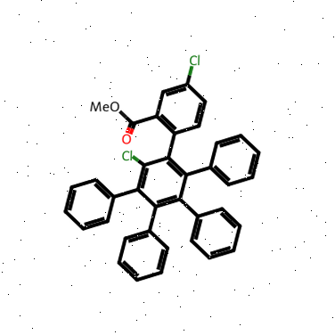 COC(=O)c1cc(Cl)ccc1-c1c(Cl)c(-c2ccccc2)c(-c2ccccc2)c(-c2ccccc2)c1-c1ccccc1